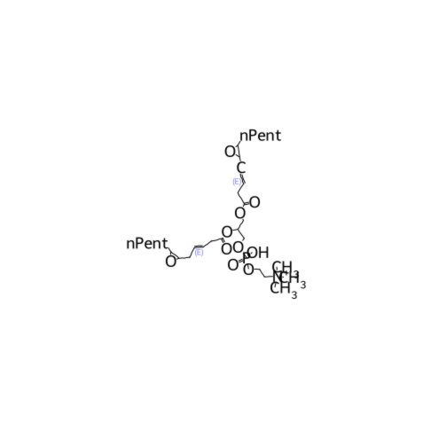 CCCCCC1OC1C/C=C/CC(=O)OCC(COP(=O)(O)OCC[N+](C)(C)C)OC(=O)C/C=C/CC1OC1CCCCC